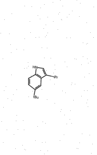 CC(C)c1c[nH]c2ccc(C(C)(C)C)cc12